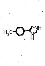 Cc1ccc(C2=CNCN2)cc1